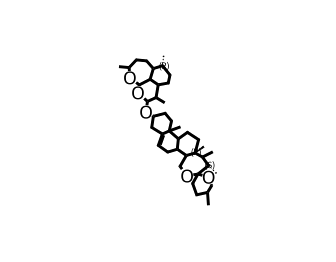 CC1CCC2(OC1)OCC1C3CC=C4CC(OC5OC6OC(C)CCC7C6C(CC[C@H]7C)C5C)CCC4(C)C3CC[C@]1(C)C(C)[C@@H]2C